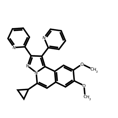 COc1cc2cc(C3CC3)n3nc(-c4ccccn4)c(-c4ccccn4)c3c2cc1OC